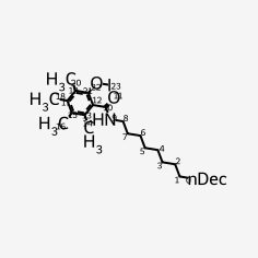 CCCCCCCCCCCCCCCCCCNC(=O)c1c(C)c(C)c(C)c(C)c1OI